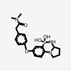 CN(C)C(=O)Cc1ccc(Oc2ccc3c(c2)S(O)(O)NC2CCCN32)cc1